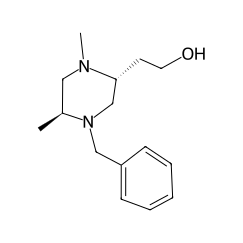 C[C@H]1CN(C)[C@H](CCO)CN1Cc1ccccc1